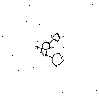 Cc1coc(C(=O)NC(NC2CCCCCCC2)C(Cl)(Cl)Cl)c1